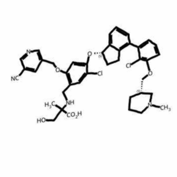 CN1CCC[C@H](COc2cccc(-c3cccc4c3CC[C@@H]4Oc3cc(OCc4cncc(C#N)c4)c(CNC(C)(CO)C(=O)O)cc3Cl)c2Cl)C1